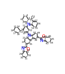 CC1(C)c2ccccc2N(c2cc(-c3ccccc3)cc(-n3c4ccc(-c5nc6ccccc6o5)cc4c4cc(-c5nc6ccccc6o5)ccc43)c2)c2ccccc21